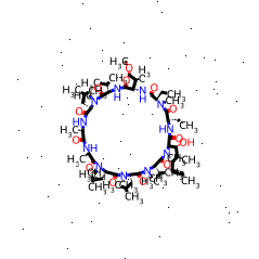 C/C=C/C[C@@H](C)[C@@H](O)C1C(=O)N[C@@H](CC)C(=O)N(C)[C@H](CC)C(=O)N[C@@H]([C@H](C)COC)C(=O)N[C@@H](C(C)C)C(=O)N(C)[C@@H](CC(C)C)C(=O)N[C@@H](C)C(=O)N[C@H](C)C(=O)N(C)[C@@H](CC(C)C)C(=O)N(C)[C@@H](CC(C)C)C(=O)N(C)[C@@H](C(C)C)C(=O)N1C